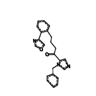 O=C(CCCc1ccccc1-c1cocn1)c1cncn1Cc1ccccc1